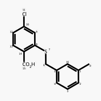 Cc1cccc(CSc2cc(Cl)ccc2C(=O)O)c1